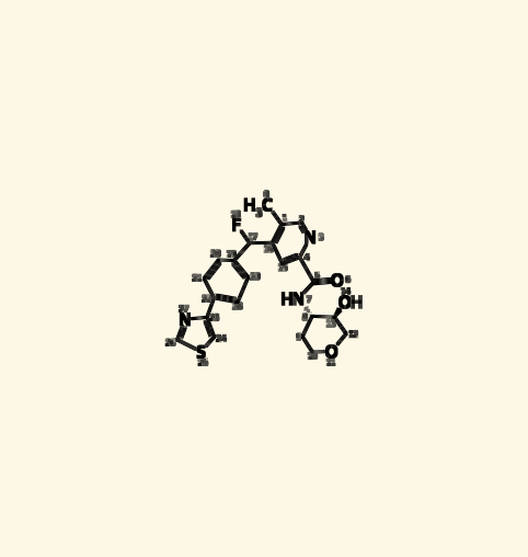 Cc1cnc(C(=O)N[C@H]2CCOC[C@@H]2O)cc1C(F)c1ccc(-c2cscn2)cc1